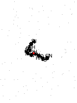 Cc1ncsc1-c1ccc([C@H](C)NC(=O)[C@@H]2C[C@@H](O)CN2C(=O)C(C(C)C)n2cc(-c3ccnc(OC4CN(c5ccc(C(=O)NC6C(C)(C)C(Oc7ccc(C#N)c(Cl)c7)C6(C)C)cn5)C4)c3)cn2)cc1